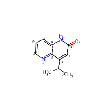 CC(C)c1cc(=O)[nH]c2cccnc12